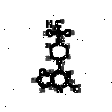 CS(=O)(=O)N1CCN(c2nc(Cl)nc3ccoc23)CC1